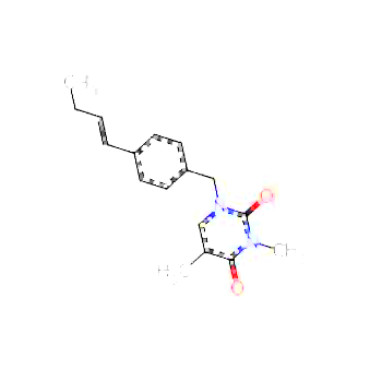 CC/C=C/c1ccc(Cn2cc(C)c(=O)n(C)c2=O)cc1